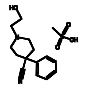 CS(=O)(=O)O.N#CC1(c2ccccc2)CCN(CCO)CC1